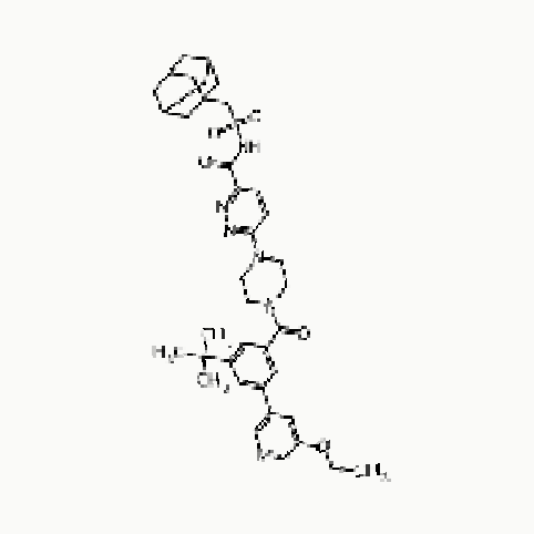 CCOc1cncc(-c2cc(C(=O)N3CCN(c4ccc(C(=O)NS(=O)(=O)CC56CC7CC(CC(C7)C5)C6)nn4)CC3)cc(C(C)(C)C)c2)c1